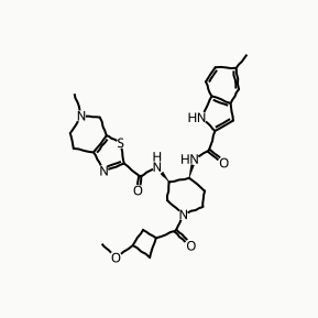 COC1CC(C(=O)N2CC[C@H](NC(=O)c3cc4cc(C)ccc4[nH]3)[C@H](NC(=O)c3nc4c(s3)CN(C)CC4)C2)C1